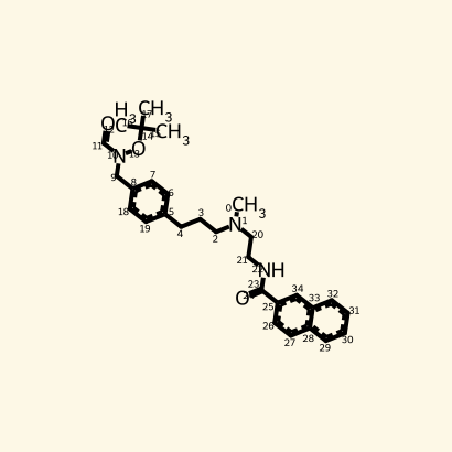 CN(CCCc1ccc(CN(C=O)OC(C)(C)C)cc1)CCNC(=O)c1ccc2ccccc2c1